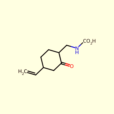 C=CC1CCC(CNC(=O)O)C(=O)C1